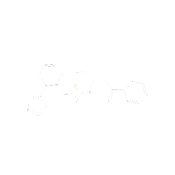 O=S(=O)(Cc1ccccc1-c1ccco1)N[C@@H](Cc1coc2ccccc12)B(O)O